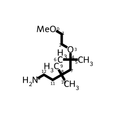 COCCOC(C)(C)CC(C)(C)CCN